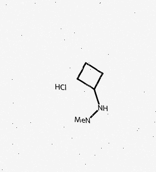 CNNC1CCC1.Cl